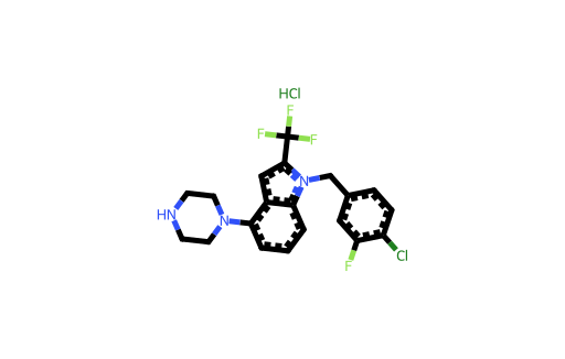 Cl.Fc1cc(Cn2c(C(F)(F)F)cc3c(N4CCNCC4)cccc32)ccc1Cl